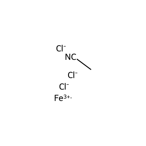 CC#N.[Cl-].[Cl-].[Cl-].[Fe+3]